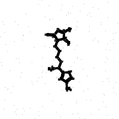 Cc1noc([C@@H](N)CCCCN2C(=O)C=C(Br)C2=O)n1